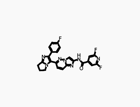 O=C(Nc1cn2nc(-c3c(-c4ccc(F)cc4)nc4n3CCC4)ccc2n1)c1cc(F)nc(F)c1